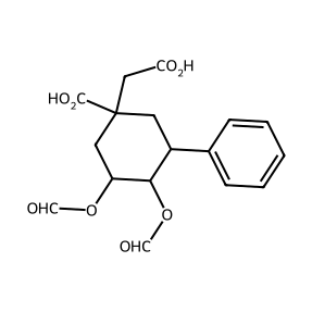 O=COC1CC(CC(=O)O)(C(=O)O)CC(c2ccccc2)C1OC=O